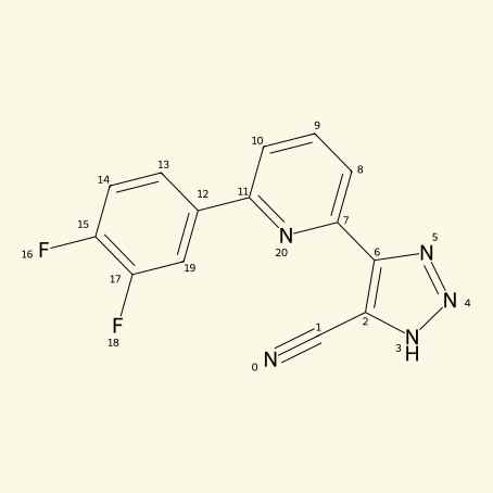 N#Cc1[nH]nnc1-c1cccc(-c2ccc(F)c(F)c2)n1